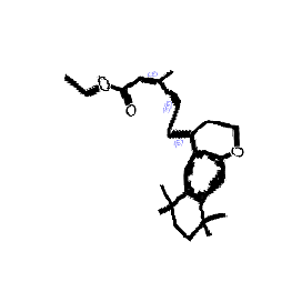 CCOC(=O)\C=C(C)/C=C/C=C1\CCOc2cc3c(cc21)C(C)(C)CCC3(C)C